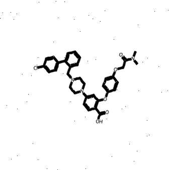 CN(C)C(=O)COc1ccc(Oc2cc(N3CCN(Cc4ccccc4-c4ccc(Cl)cc4)CC3)ccc2C(=O)O)cc1